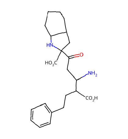 NC(CC(=O)C1(C(=O)O)CC2CCCCC2N1)C(CCc1ccccc1)C(=O)O